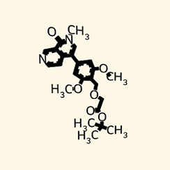 COc1cc(-c2cn(C)c(=O)c3cnccc23)cc(OC)c1COCC(=O)OC(C)(C)C